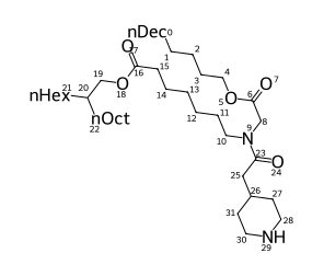 CCCCCCCCCCCCCCOC(=O)CN(CCCCCCC(=O)OCC(CCCCCC)CCCCCCCC)C(=O)CC1CCNCC1